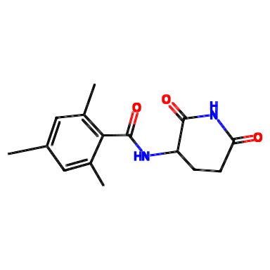 Cc1cc(C)c(C(=O)NC2CCC(=O)NC2=O)c(C)c1